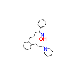 ON=C(CCCc1ccccc1CCCN1CCCCC1)c1ccccc1